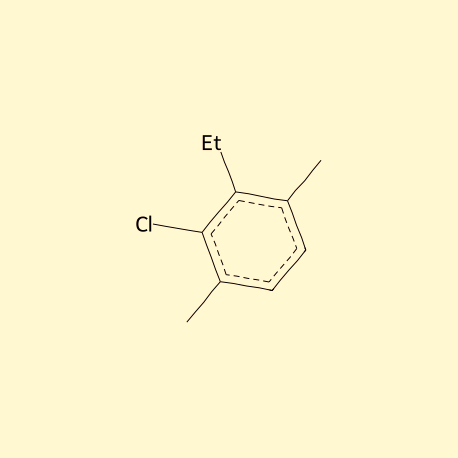 CCc1c(C)ccc(C)c1Cl